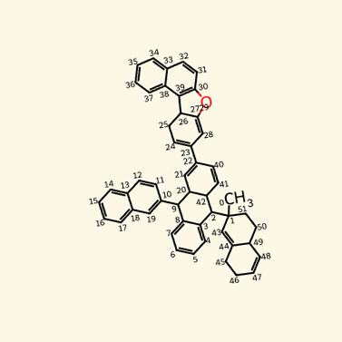 CC1(C2c3ccccc3C(c3ccc4ccccc4c3)C3C=C(C4=CCC5C(=C4)Oc4ccc6ccccc6c45)C=CC32)C=C2CCC=CC2CC1